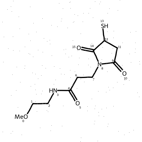 COCCNC(=O)CCN1C(=O)CC(S)C1=O